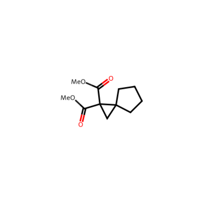 COC(=O)C1(C(=O)OC)CC12CCCC2